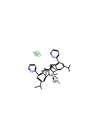 CC(C)c1cc(-c2ccccn2)c2c(c1)[CH]([Hf]([CH3])([CH3])(=[SiH2])[CH]1C([Si](C)(C)C)=Cc3c(-c4ccccn4)cc(C(C)C)cc31)C([Si](C)(C)C)=C2.Cl.Cl